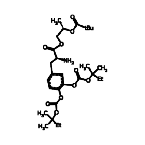 CCC(C)(C)OC(=O)Oc1ccc(C[C@H](N)C(=O)OC[C@H](C)OC(=O)C(C)(C)C)cc1OC(=O)OC(C)(C)CC